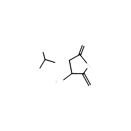 FC(F)F.O=C1CC(O)C(=O)N1